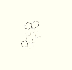 CC1(C(=O)NS(=O)(=O)c2cccc3ccccc23)CCc2cccc(C3CCC3)c21